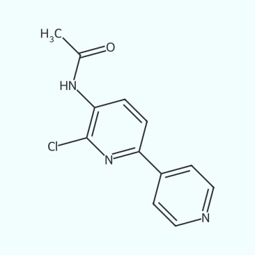 CC(=O)Nc1ccc(-c2ccncc2)nc1Cl